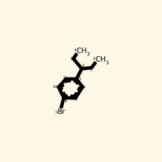 CCC(CC)c1ccc(Br)cc1